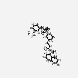 O=C(/C=C/c1cccc(S(=O)(=O)Nc2cccc(C(F)(F)F)c2)c1)Nc1cccc2cccnc12